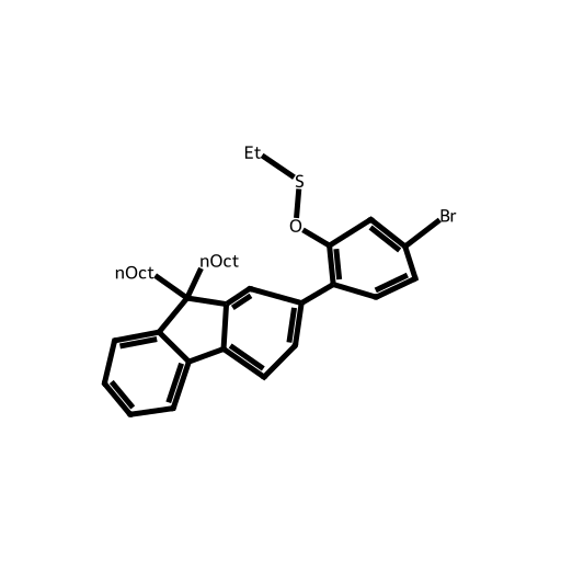 CCCCCCCCC1(CCCCCCCC)c2ccccc2-c2ccc(-c3ccc(Br)cc3OSCC)cc21